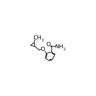 CC1CC1COc1ccccc1C(N)=O